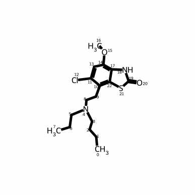 CCCCN(CCC)CCc1c(Cl)cc(OC)c2[nH]c(=O)sc12